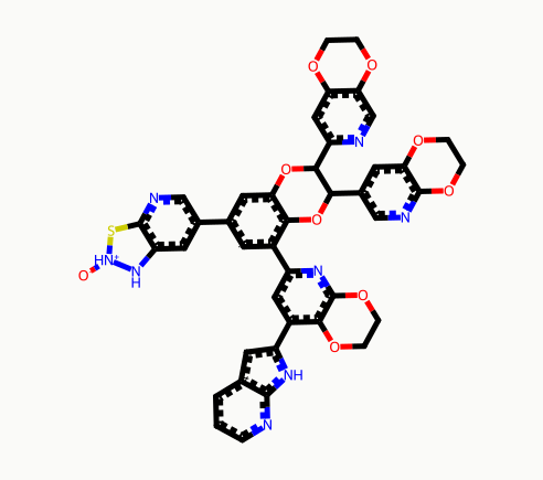 [O-][NH+]1Nc2cc(-c3[c]c(-c4cc(-c5cc6cccnc6[nH]5)c5c(n4)OCCO5)c4c(c3)OC(c3cc5c(cn3)OCCO5)C(c3cnc5c(c3)OCCO5)O4)cnc2S1